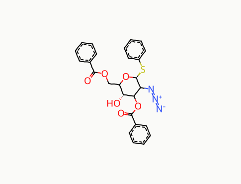 [N-]=[N+]=NC1C(OC(=O)c2ccccc2)[C@H](O)C(COC(=O)c2ccccc2)O[C@H]1Sc1ccccc1